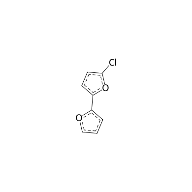 Clc1ccc(-c2ccco2)o1